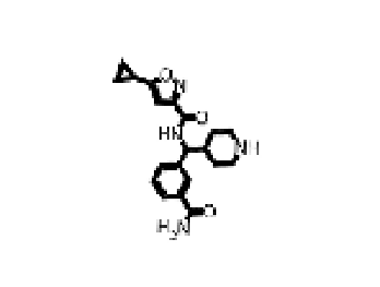 NC(=O)c1cccc(C(NC(=O)c2cc(C3CC3)on2)C2CCNCC2)c1